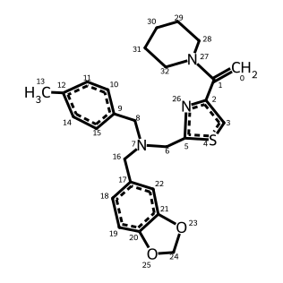 C=C(c1csc(CN(Cc2ccc(C)cc2)Cc2ccc3c(c2)OCO3)n1)N1CCCCC1